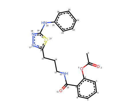 CC(=O)Oc1ccccc1C(=O)NCCCc1nnc(Nc2ccccc2)s1